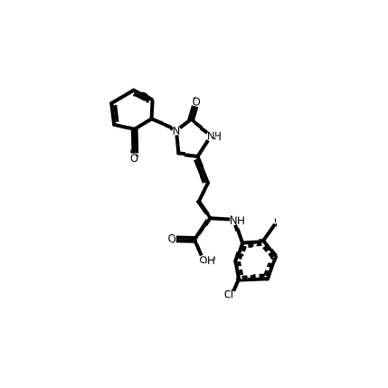 O=C(O)C(CC=C1CN(C2C=CC=CC2=O)C(=O)N1)Nc1cc(Cl)ccc1I